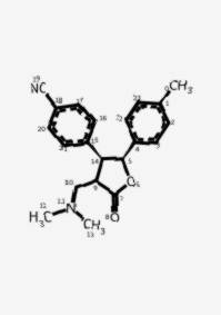 Cc1ccc([C@H]2OC(=O)C(CN(C)C)[C@H]2c2ccc(C#N)cc2)cc1